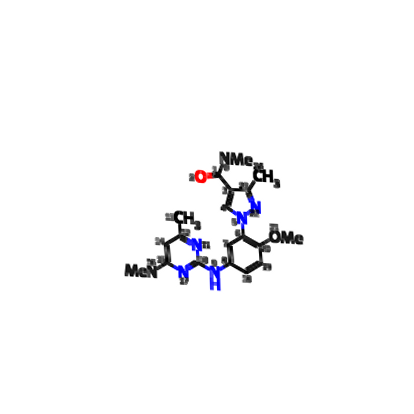 CNC(=O)c1cn(-c2cc(Nc3nc(C)cc(NC)n3)ccc2OC)nc1C